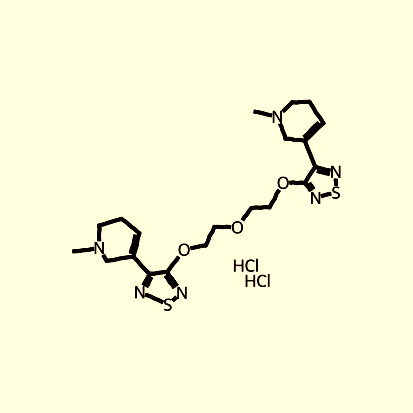 CN1CCC=C(c2nsnc2OCCOCCOc2nsnc2C2=CCCN(C)C2)C1.Cl.Cl